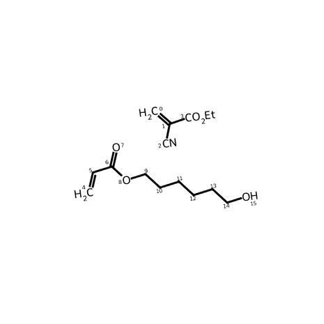 C=C(C#N)C(=O)OCC.C=CC(=O)OCCCCCCO